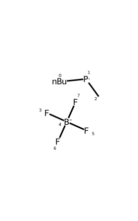 CCCC[P]C.F[B-](F)(F)F